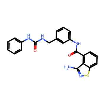 Nc1nsc2cccc(C(=O)Nc3cccc(CNC(=O)Nc4ccccc4)c3)c12